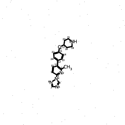 Cc1nc(-n2cncn2)ccc1-c1ccc(OC2CCNCC2)cc1